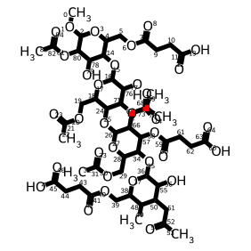 COC1OC(COC(=O)CCC(=O)O)C(OC2OC(COC(C)=O)C(OC3OC(COC(C)=O)C(OC4OC(COC(=O)CCC(=O)O)C(C)C(CC(C)=O)C4O)C(OC(=O)CCC(=O)O)C3CC(C)=O)C(OC(C)=O)C2O)C(O)C1OC(C)=O